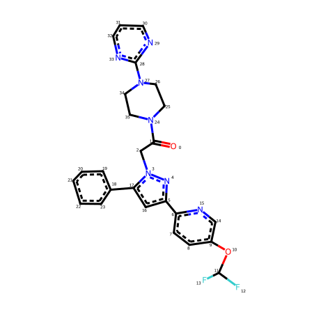 O=C(Cn1nc(-c2ccc(OC(F)F)cn2)cc1-c1ccccc1)N1CCN(c2ncccn2)CC1